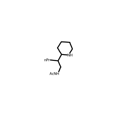 CCCC(CNC(C)=O)C1CCCCN1